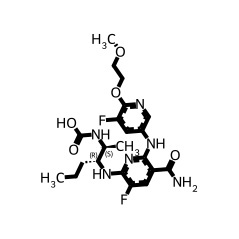 CCC[C@@H](Nc1nc(Nc2cnc(OCCOC)c(F)c2)c(C(N)=O)cc1F)[C@H](C)NC(=O)O